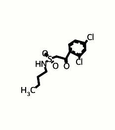 CCCCNS(=O)(=O)CC(=O)c1ccc(Cl)cc1Cl